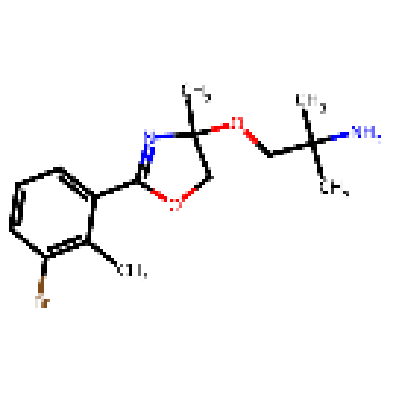 Cc1c(Br)cccc1C1=NC(C)(OCC(C)(C)N)CO1